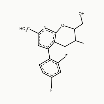 CC1Cc2c(-c3ccc(F)cc3F)cc(C(=O)O)nc2OC1CO